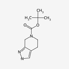 CC(C)(C)OC(=O)N1CCC2=C[N]N=C2C1